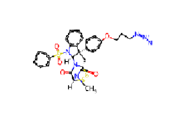 CN1C(=O)[C@@]23C[C@]4(c5ccc(OCCCN=[N+]=[N-])cc5)c5ccccc5N(S(=O)(=O)c5ccccc5)[C@@H]4N2C(=O)[C@@H]1SS3